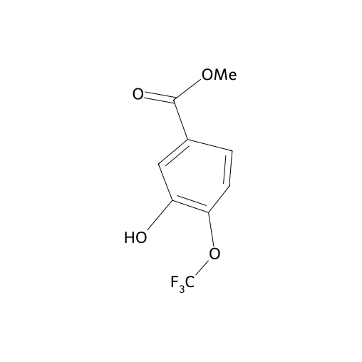 COC(=O)c1ccc(OC(F)(F)F)c(O)c1